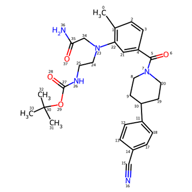 Cc1ccc(C(=O)N2CCC(c3ccc(C#N)cc3)CC2)cc1N(CCNC(=O)OC(C)(C)C)CC(N)=O